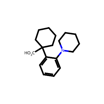 O=C(O)C1(c2ccccc2N2CCCCC2)CCCCC1